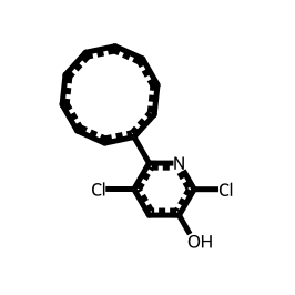 Oc1cc(Cl)c(-c2ccccccccc2)nc1Cl